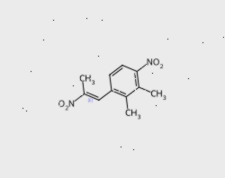 C/C(=C\c1ccc([N+](=O)[O-])c(C)c1C)[N+](=O)[O-]